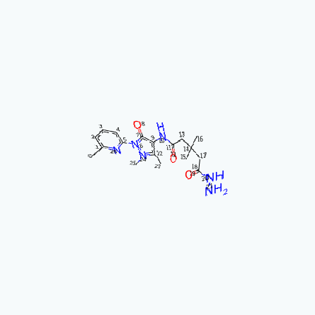 Cc1cccc(-n2c(=O)c(NC(=O)CC(C)(C)CC(=O)NN)c(C)n2C)n1